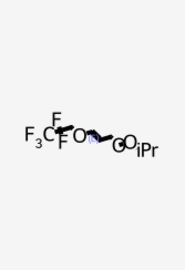 CC(C)OOC/C=C/OCC(F)(F)C(F)(F)F